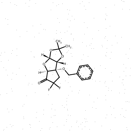 CC1(C)O[C@H]2O[C@@H]3C(=O)C(F)(F)C[C@]3(OCc3ccccc3)[C@H]2O1